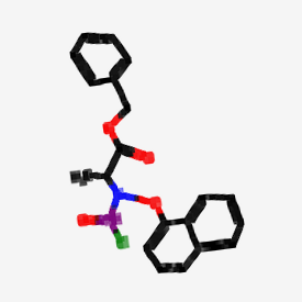 CC(C(=O)OCc1ccccc1)N(Oc1cccc2ccccc12)[PH](=O)Cl